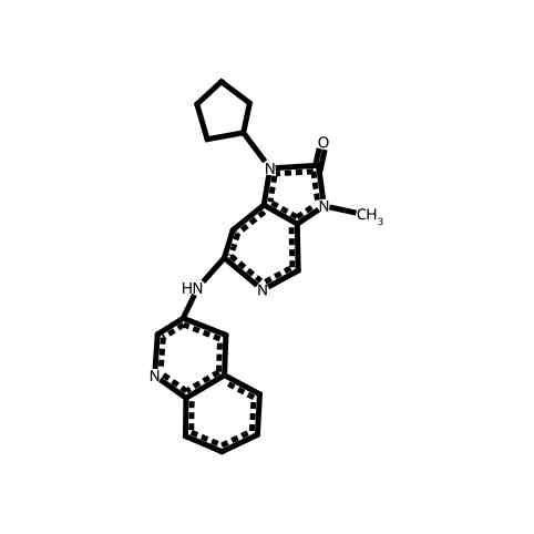 Cn1c(=O)n(C2CCCC2)c2cc(Nc3cnc4ccccc4c3)ncc21